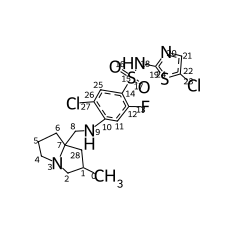 CC1CN2CCCC2(CNc2cc(F)c(S(=O)(=O)Nc3ncc(Cl)s3)cc2Cl)C1